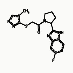 Cn1cnnc1SCC(=O)N1CCCC1c1nc2cc(F)ccc2[nH]1